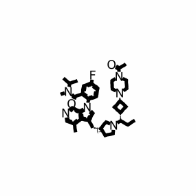 CCC([C@H]1C[C@@H](N2CCN(C(C)=O)CC2)C1)N1CC[C@H](Cc2cn(-c3ccc(F)cc3C(=O)N(C)C(C)C)c3cncc(C)c23)C1